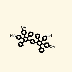 Oc1ccc(-c2c(-c3ccccc3)cc(-c3ccc(-c4cc(-c5ccccc5)c(-c5ccc(O)cc5)c(-c5ccc(O)cc5)c4-c4ccccc4)cc3)c(-c3ccccc3)c2-c2ccc(O)cc2)cc1